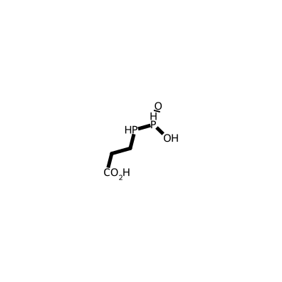 O=C(O)CCP[PH](=O)O